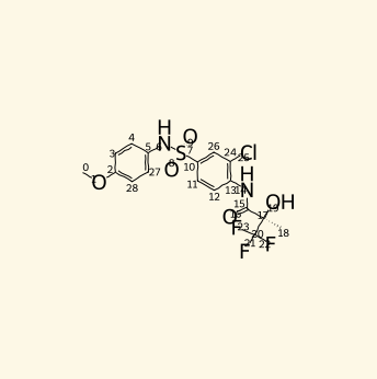 COc1ccc(NS(=O)(=O)c2ccc(NC(=O)[C@@](C)(O)C(F)(F)F)c(Cl)c2)cc1